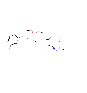 Cn1nc(NC(=O)N2CCC3(CC2)CC(c2cccc(C(F)(F)F)c2)CO3)n1C